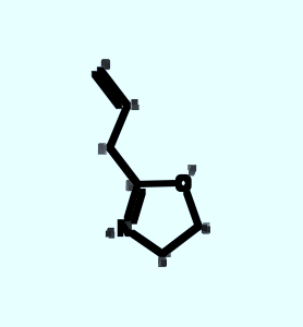 C=CCC1=N[CH]CO1